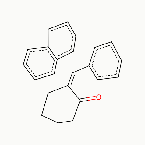 O=C1CCCCC1=Cc1ccccc1.c1ccc2ccccc2c1